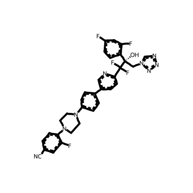 N#Cc1ccc(N2CCN(c3ccc(-c4ccc(C(F)(F)[C@](O)(Cn5cnnn5)c5ccc(F)cc5F)nc4)cc3)CC2)c(F)c1